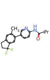 Cc1cc2c(cc1-c1ccc(NC(=O)C(C)C)nc1)C(F)(F)CC2